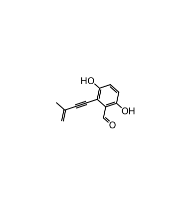 C=C(C)C#Cc1c(O)ccc(O)c1C=O